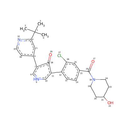 CC(C)(C)c1cc(-c2c[nH]cc(-c3ccc(C(=O)N4CCC(O)CC4)cc3Cl)c2=O)ccn1